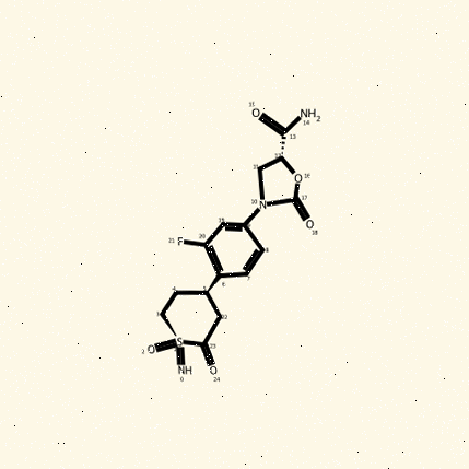 N=[S@@]1(=O)CC[C@@H](c2ccc(N3C[C@H](C(N)=O)OC3=O)cc2F)CC1=O